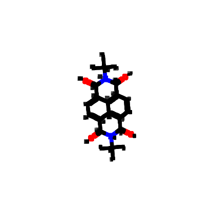 CC(C)(C)N1C(=O)c2ccc3c4c(ccc(c24)C1=O)C(=O)N(C(C)(C)C)C3=O